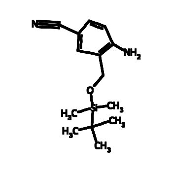 CC(C)(C)[Si](C)(C)OCc1cc(C#N)ccc1N